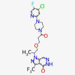 CC(COCCC(=O)N1CCN(c2cc(Cl)c(F)cn2)CC1)n1nc(C(F)(F)F)c2c(=O)[nH]ncc21